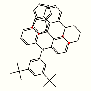 CC(C)(C)c1cc(N(c2ccccc2-c2cccc3cccc(C4CCCCC4)c23)c2cccc3c2oc2ccccc23)cc(C(C)(C)C)c1